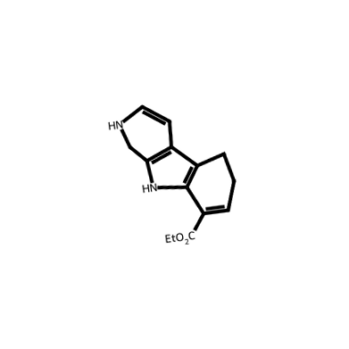 CCOC(=O)C1=CCCc2c1[nH]c1c2C=CNC1